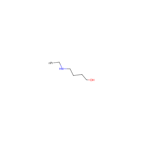 [CH2]CCCNCCCCO